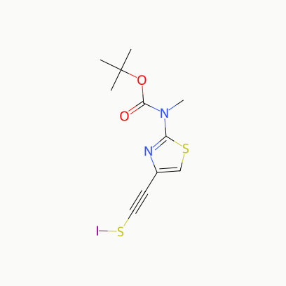 CN(C(=O)OC(C)(C)C)c1nc(C#CSI)cs1